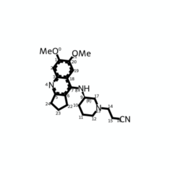 COc1cc2nc3c(c(N[C@@H]4CCCN(CCC#N)C4)c2cc1OC)CCC3